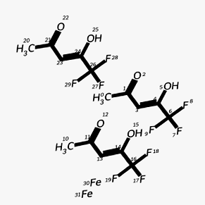 CC(=O)C=C(O)C(F)(F)F.CC(=O)C=C(O)C(F)(F)F.CC(=O)C=C(O)C(F)(F)F.[Fe].[Fe]